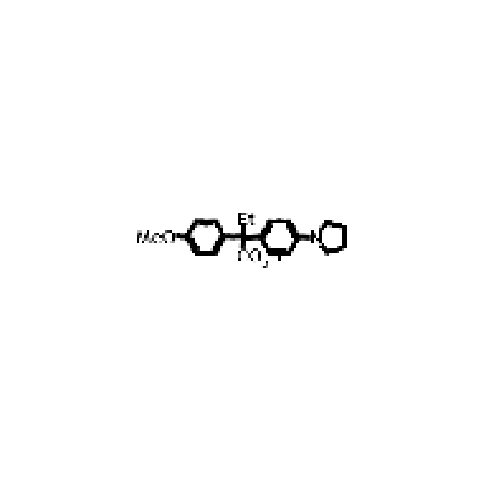 CCC(C(=O)O)(c1ccc(OC)cc1)c1ccc(N2CCCC2)cc1